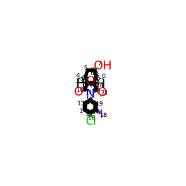 C[C@]12O[C@](C)(C[C@@H]1O)[C@H]1C(=O)N(c3ccc(Cl)c(I)c3)C(=O)[C@H]12